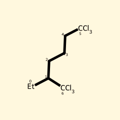 CCC(C[CH]CC(Cl)(Cl)Cl)C(Cl)(Cl)Cl